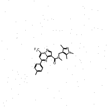 Cc1ccc(-c2cc(C(F)(F)F)n3ncc(C(=O)N(C)Cc4c(C)nn(C)c4C)c3n2)cc1